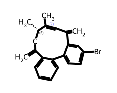 C=C1/C=C(/C)[C@@H](C)CC(=C)c2ccccc2-c2ccc(Br)cc21